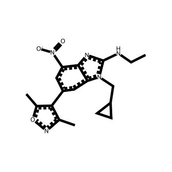 CCNc1nc2c([N+](=O)[O-])cc(-c3c(C)noc3C)cc2n1CC1CC1